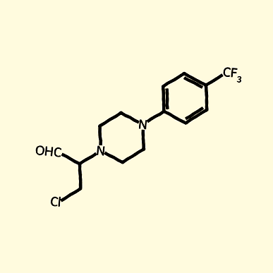 O=CC(CCl)N1CCN(c2ccc(C(F)(F)F)cc2)CC1